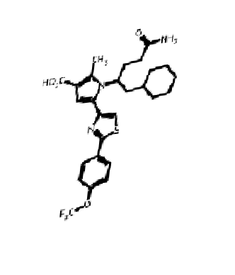 Cc1c(C(=O)O)cc(-c2csc(-c3ccc(OC(F)(F)F)cc3)n2)n1C(CCC(N)=O)CC1CCCCC1